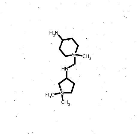 C[Si]1(C)CCC(NC[Si]2(C)CCC(N)CC2)C1